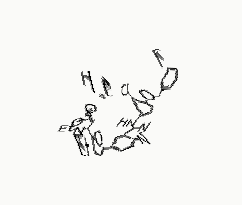 C.CCN(CC)C(C=S(=O)=O)c1ccc(-c2ccc3ncnc(Nc4ccc(OCc5cccc(F)c5)c(Cl)c4)c3c2)o1